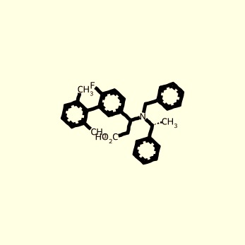 Cc1cccc(C)c1-c1cc(C(CC(=O)O)N(Cc2ccccc2)[C@H](C)c2ccccc2)ccc1F